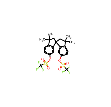 CC1(C)CC2(CC(C)(C)c3ccc(OS(=O)(=O)C(F)(F)F)cc32)c2cc(OS(=O)(=O)C(F)(F)F)ccc21